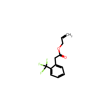 C=CCOC(=O)Cc1ccccc1C(F)(F)F